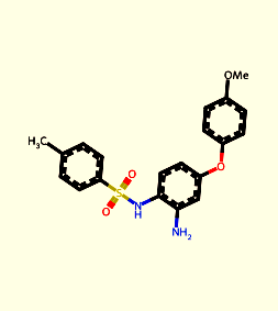 COc1ccc(Oc2ccc(NS(=O)(=O)c3ccc(C)cc3)c(N)c2)cc1